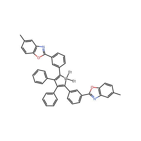 CC[Si]1(CC)C(c2cccc(-c3nc4cc(C)ccc4o3)c2)=C(c2ccccc2)C(c2ccccc2)=C1c1cccc(-c2nc3cc(C)ccc3o2)c1